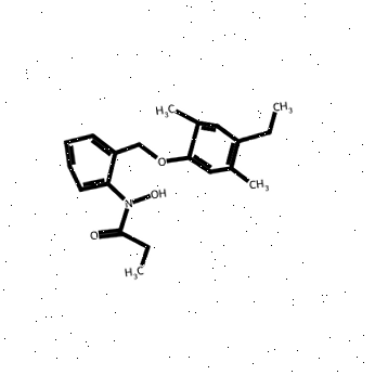 CCC(=O)N(O)c1ccccc1COc1cc(C)c(CC)cc1C